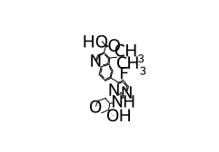 CC(C)c1c(C(=O)O)cnc2ccc(-c3nc(N[C@@H]4CCOC[C@H]4O)ncc3F)cc12